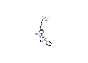 CCCC/C(=C\c1nnc(-c2ccc(CNCCC(=O)O)cc2CC)o1)c1ccccc1